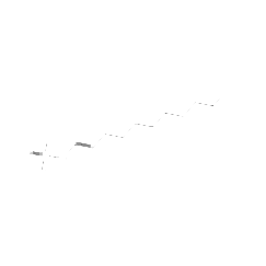 CCCCCCCCCC=COP(=O)(Cl)Cl